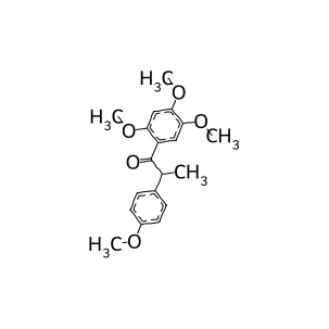 COc1ccc(C(C)C(=O)c2cc(OC)c(OC)cc2OC)cc1